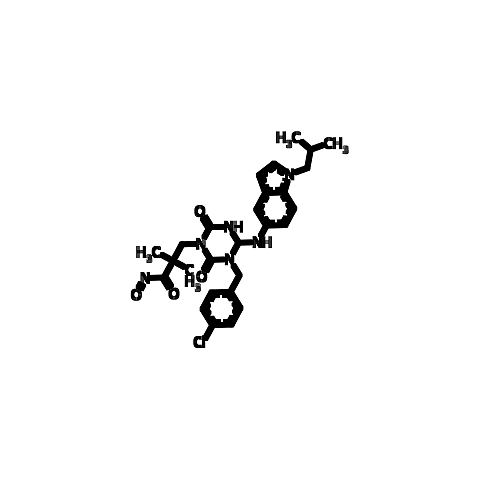 CC(C)Cn1ccc2cc(NC3NC(=O)N(CC(C)(C)C(=O)N=O)C(=O)N3Cc3ccc(Cl)cc3)ccc21